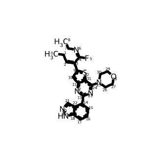 CC/C=C(\C(F)=N/CC)c1cc2nc(-c3cccc4[nH]ncc34)nc(N3CCOCC3)c2s1